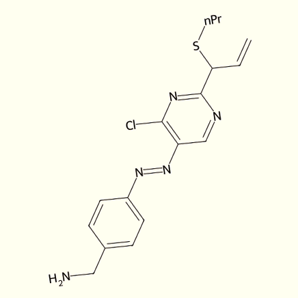 C=CC(SCCC)c1ncc(/N=N/c2ccc(CN)cc2)c(Cl)n1